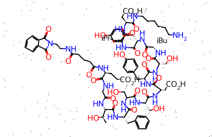 CC[C@H](C)[C@H](NC(=O)[C@H](CO)NC(=O)[C@H](Cc1ccc(O)cc1)NC(=O)[C@H](CC(=O)O)NC(=O)[C@H](CO)NC(=O)[C@@H](NC(=O)[C@H](Cc1ccccc1)NC(=O)[C@@H](NC(=O)CNC(=O)[C@H](CCC(=O)O)NC(=O)CCCC(=O)NCCN1C(=O)c2ccccc2C1=O)[C@@H](C)O)[C@@H](C)O)C(=O)N[C@@H](Cc1ccc(O)cc1)C(=O)N[C@@H](CC(C)C)C(=O)N[C@@H](CC(=O)O)C(=O)N[C@H](C)CCCCCN